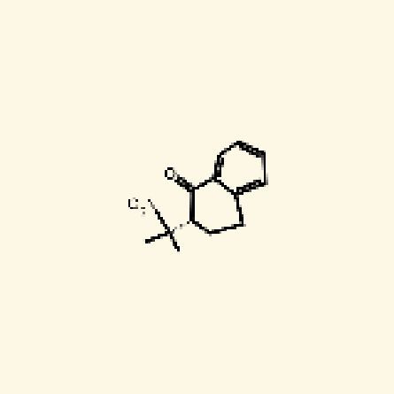 CC(C)([C@H]1CCc2ccccc2C1=O)[N+](=O)[O-]